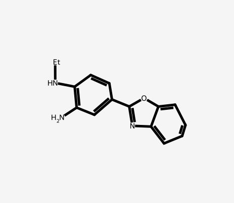 CCNc1ccc(-c2nc3ccccc3o2)cc1N